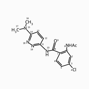 CC(=O)Nc1cc(Cl)ccc1C(=O)Nc1ccc(N(C)C)nn1